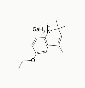 CCOc1ccc2c(c1)C(C)=CC(C)(C)N2.[GaH3]